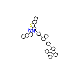 c1ccc(C2(c3ccccc3)c3ccccc3-c3c(-c4ccc(-c5ccc(-c6ccc(-c7cc8c9cc%10ccccc%10cc9sc8c8nc9c%10cc%11ccccc%11cc%10ccc9n78)cc6)c6ccccc56)cc4)cccc32)cc1